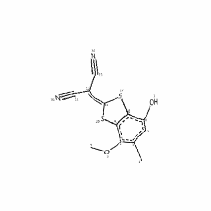 COc1c(C)cc(O)c2c1SC(=C(C#N)C#N)S2